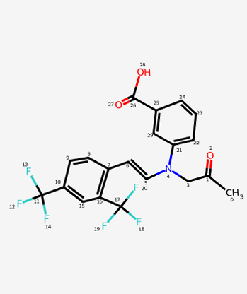 CC(=O)CN(C=Cc1ccc(C(F)(F)F)cc1C(F)(F)F)c1cccc(C(=O)O)c1